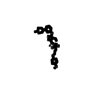 CCn1c(Oc2cccc(N3CCN(C)CC3)c2)nnc1[C@@H](C)NS(=O)(=O)CCCOc1ccc(OC)cc1